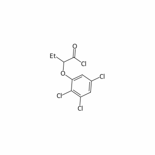 CCC(Oc1cc(Cl)cc(Cl)c1Cl)C(=O)Cl